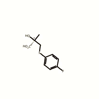 C[C@](O)(CSc1ccc(F)cc1)C(=O)O